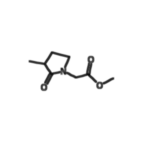 COC(=O)CN1CCC(C)C1=O